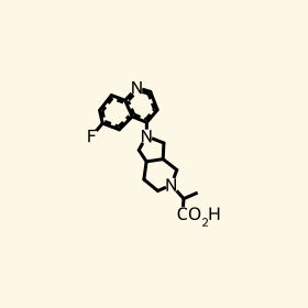 CC(C(=O)O)N1CCC2CN(c3ccnc4ccc(F)cc34)CC2C1